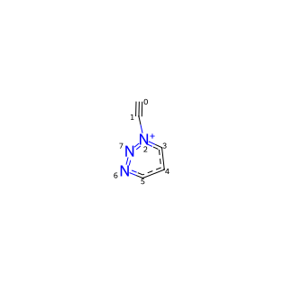 C#C[n+]1cccnn1